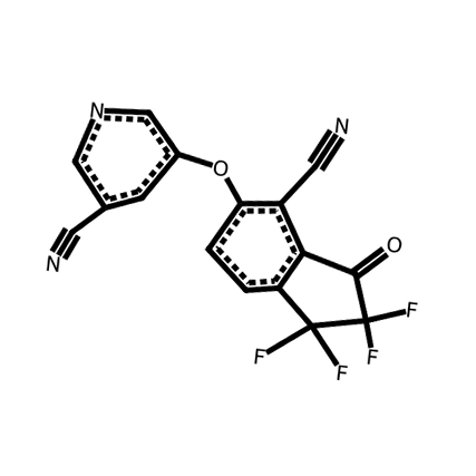 N#Cc1cncc(Oc2ccc3c(c2C#N)C(=O)C(F)(F)C3(F)F)c1